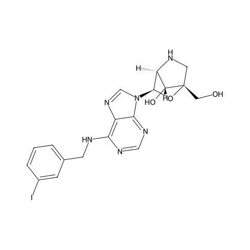 OC[C@@]12CN[C@H]([C@H](n3cnc4c(NCc5cccc(I)c5)ncnc43)O1)[C@H]2O